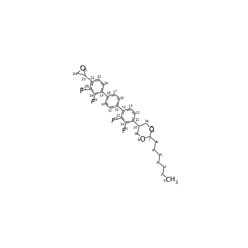 CCCCCCCC1OCC(c2ccc(-c3ccc(-c4ccc(C5CO5)c(F)c4F)cc3)c(F)c2F)CO1